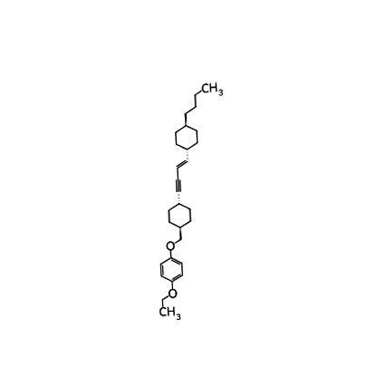 CCCC[C@H]1CC[C@H](C=CC#C[C@H]2CC[C@H](COc3ccc(OCC)cc3)CC2)CC1